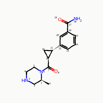 C[C@H]1CNCCN1C(=O)[C@H]1C[C@@H]1c1cccc(C(N)=O)c1